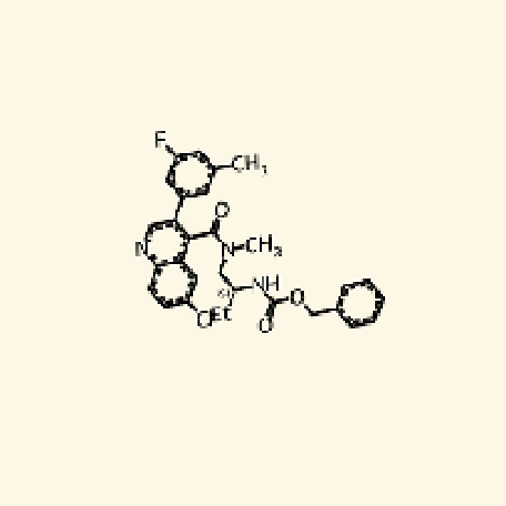 CC[C@@H](CN(C)C(=O)c1c(-c2cc(C)cc(F)c2)cnc2ccc(Cl)cc12)NC(=O)OCc1ccccc1